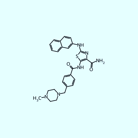 CN1CCN(Cc2ccc(C(=O)Nc3sc(Nc4ccc5ccccc5c4)nc3C(N)=O)cc2)CC1